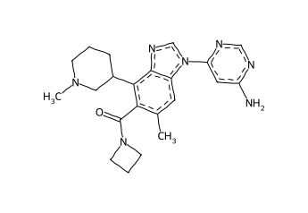 Cc1cc2c(ncn2-c2cc(N)ncn2)c(C2CCCN(C)C2)c1C(=O)N1CCC1